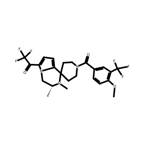 COc1ccc(C(=O)N2CCC3(CC2)c2ccc(C(=O)C(F)(F)F)n2C[C@@H](C)N3C)cc1C(F)(F)F